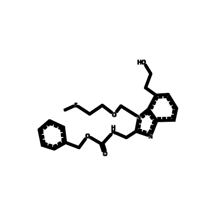 CSCCOCn1c(CNC(=O)OCc2ccccc2)nc2cccc(CCO)c21